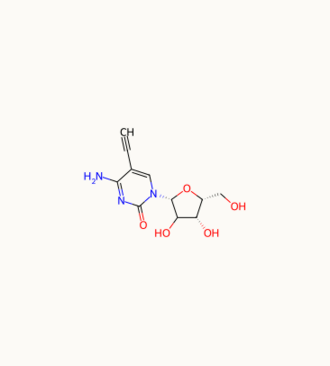 C#Cc1cn([C@@H]2O[C@H](CO)[C@H](O)C2O)c(=O)nc1N